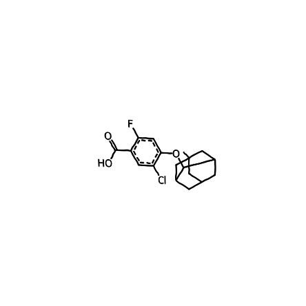 CC12CC3CC(C1)C(Oc1cc(F)c(C(=O)O)cc1Cl)C(C3)C2